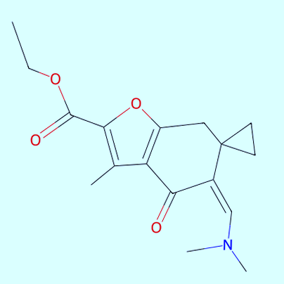 CCOC(=O)c1oc2c(c1C)C(=O)C(=CN(C)C)C1(CC1)C2